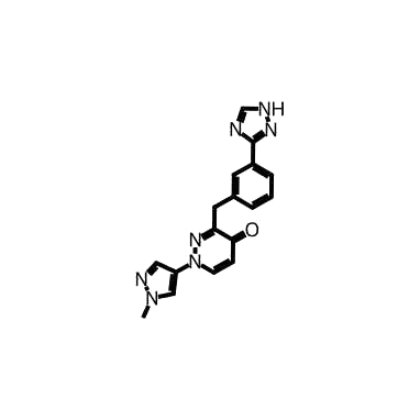 Cn1cc(-n2ccc(=O)c(Cc3cccc(-c4nc[nH]n4)c3)n2)cn1